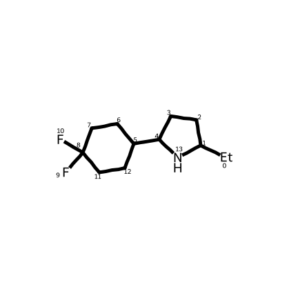 CCC1CCC(C2CCC(F)(F)CC2)N1